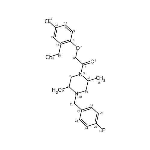 CC1CN(C(=O)COc2ccc(Cl)cc2CCl)C(C)CN1Cc1ccc(F)cc1